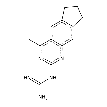 Cc1nc(NC(=N)N)nc2cc3c(cc12)CCC3